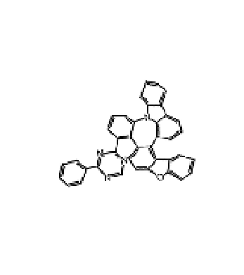 c1ccc(-c2ncnc(-c3cccc4c3-c3ccc5oc6ccccc6c5c3-c3cccc5c6ccccc6n-4c35)n2)cc1